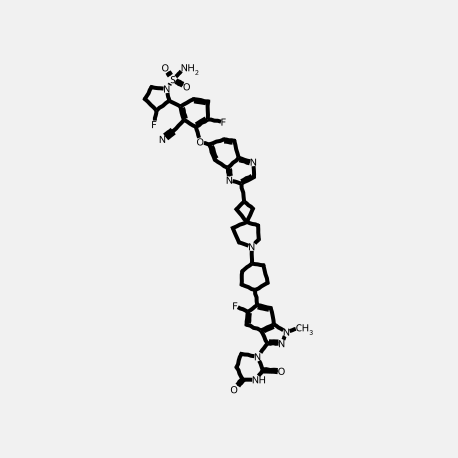 Cn1nc(N2CCC(=O)NC2=O)c2cc(F)c(C3CCC(N4CCC5(CC4)CC(c4cnc6ccc(Oc7c(F)ccc(C8C(F)CCN8S(N)(=O)=O)c7C#N)cc6n4)C5)CC3)cc21